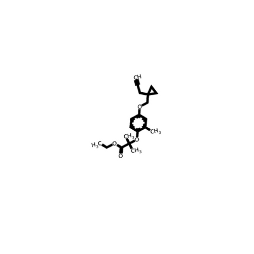 C#CCC1(COc2ccc(OC(C)(C)C(=O)OCC)c(C)c2)CC1